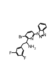 NC(Cc1cc(F)cc(F)c1)c1nc(-n2nnc3ccccc32)ccc1Br